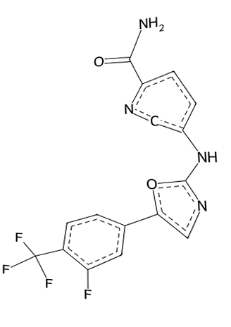 NC(=O)c1ccc(Nc2ncc(-c3ccc(C(F)(F)F)c(F)c3)o2)cn1